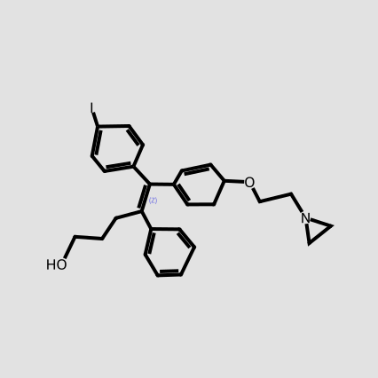 OCCC/C(=C(/C1=CCC(OCCN2CC2)C=C1)c1ccc(I)cc1)c1ccccc1